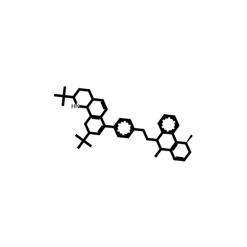 CC1C2=C(c3ccccc3C1CCc1ccc(C3=CC(C(C)(C)C)CC4=C3C=CC3CCC(C(C)(C)C)NC43)cc1)[C@@H](C)CC=C2